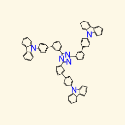 C1=c2c(n(-c3ccc(-c4cccc(-c5nc(-c6cccc(-c7ccc(-n8c9ccccc9c9ccccc98)cc7)c6)nc(-c6cccc(-c7ccc(-n8c9ccccc9c9ccccc98)cc7)c6)n5)c4)cc3)c3ccccc23)=CCC1